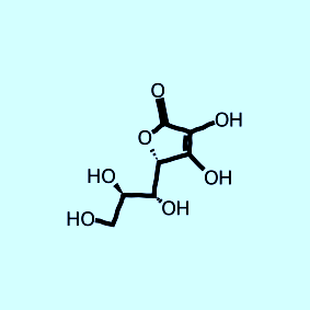 O=C1O[C@@H]([C@H](O)[C@H](O)CO)C(O)=C1O